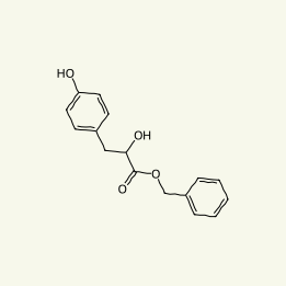 O=C(OCc1ccccc1)C(O)Cc1ccc(O)cc1